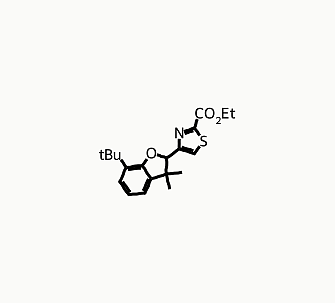 CCOC(=O)c1nc(C2Oc3c(C(C)(C)C)cccc3C2(C)C)cs1